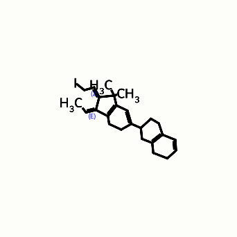 C/C=C1/C2=C(C=C(C3CCC4=C(CCC=C4)C3)CC2)C(C)(C)/C1=C/CI